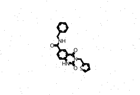 O=C(NCc1ccccc1)c1ccc2[nH]c(=O)n(Cc3cccs3)c(=O)c2c1